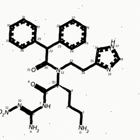 NCCC[C@@H](C(=O)NC(N)=N[N+](=O)[O-])N(CCc1c[nH]cn1)C(=O)C(c1ccccc1)c1ccccc1